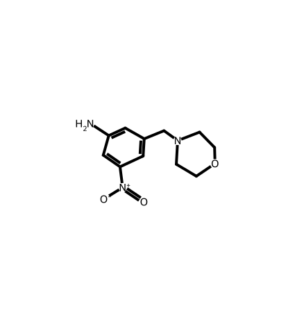 Nc1cc(CN2CCOCC2)cc([N+](=O)[O-])c1